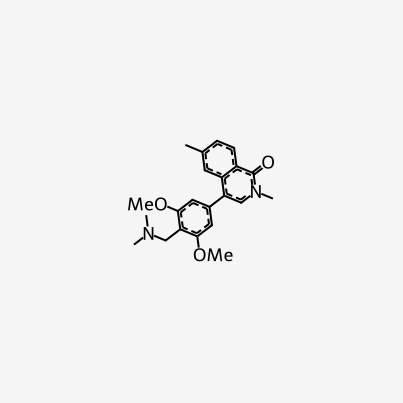 COc1cc(-c2cn(C)c(=O)c3ccc(C)cc23)cc(OC)c1CN(C)C